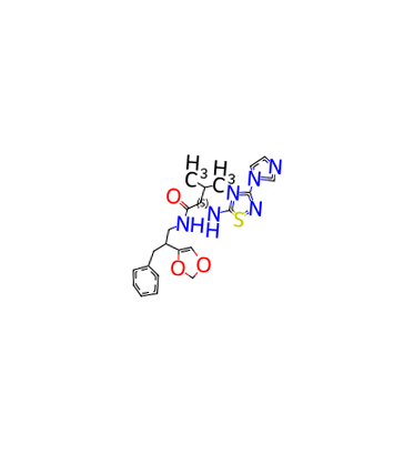 CC(C)[C@H](Nc1nc(-n2ccnc2)ns1)C(=O)NCC(Cc1ccccc1)C1=COCO1